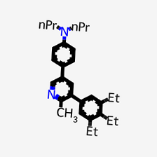 CCCN(CCC)c1ccc(-c2cnc(C)c(-c3cc(CC)c(CC)c(CC)c3)c2)cc1